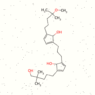 COC(C)(C)CCCC1=CC=C(CCCC2=CC=C(CCCC(C)(C)CO)C2O)C1O